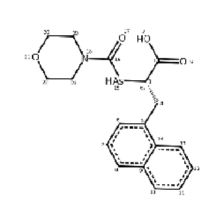 O=C(O)[C@H](Cc1cccc2ccccc12)[AsH]C(=O)N1CCOCC1